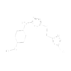 CC(C)NC1CCC(Nc2ncc(SCc3ncc(C(C)(C)C)o3)s2)CC1